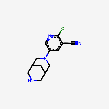 N#Cc1cc(N2CC3CNCC(C3)C2)cnc1Cl